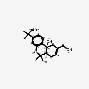 CCCCCCC(C)(C)c1ccc2c(c1)OC(C)(C)[C@@H]1CC=C(CO)C[C@]21O